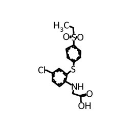 CCS(=O)(=O)c1ccc(Sc2cc(Cl)ccc2NCC(=O)O)cc1